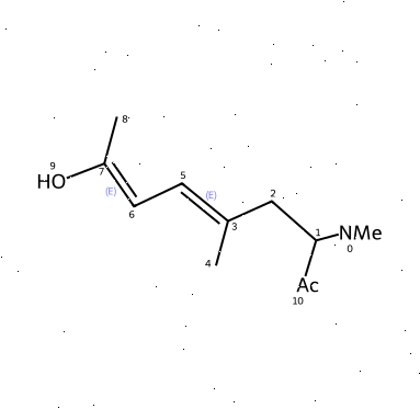 CNC(C/C(C)=C/C=C(\C)O)C(C)=O